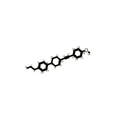 CCCc1ccc(C2CC=C(C#Cc3ccc(OC)cc3)CC2)cc1